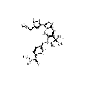 CN(C)C(=O)c1ccc(COc2nn3c(-c4cc(CO)on4)nnc3cc2C(C)(C)C)nc1